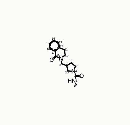 CNC(=O)N1CCC(CN2CCc3ccccc3C2=O)C1